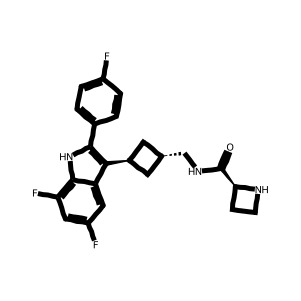 O=C(NC[C@H]1C[C@H](c2c(-c3ccc(F)cc3)[nH]c3c(F)cc(F)cc32)C1)[C@@H]1CCN1